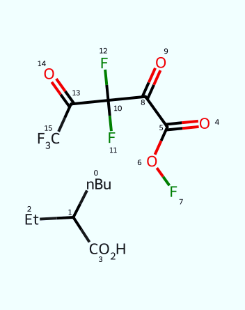 CCCCC(CC)C(=O)O.O=C(OF)C(=O)C(F)(F)C(=O)C(F)(F)F